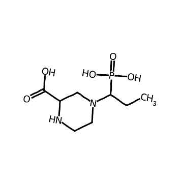 CCC(N1CCNC(C(=O)O)C1)P(=O)(O)O